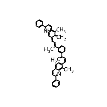 C=C(/C=C\c1ccc2ccc(-c3ccccc3)nc2c1C)c1cccc(/C(C)=C/C=c2/ccc(/C=C\C(=N)c3ccccc3)c(C)c2=C)c1